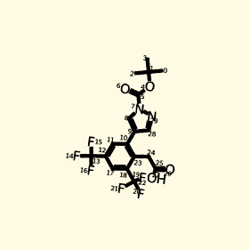 CC(C)(C)OC(=O)n1cc(-c2cc(C(F)(F)F)cc(C(F)(F)F)c2CC(=O)O)cn1